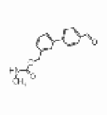 CNC(=O)OCc1cccc(-c2ccc(C=O)cc2)c1